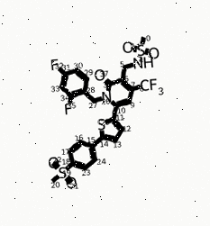 CS(=O)(=O)NCc1c(C(F)(F)F)cc(-c2ccc(-c3ccc(S(C)(=O)=O)cc3)s2)n(Cc2ccc(F)cc2F)c1=O